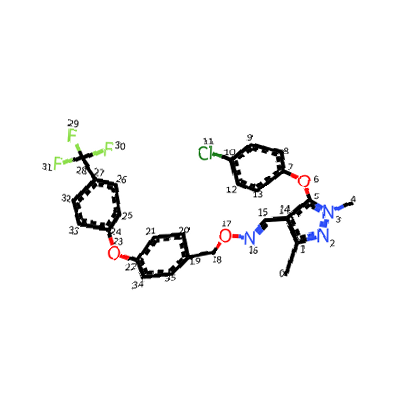 Cc1nn(C)c(Oc2ccc(Cl)cc2)c1C=NOCc1ccc(Oc2ccc(C(F)(F)F)cc2)cc1